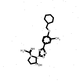 Cc1cc(-c2noc([C@@H]3[C@@H](O)CCN3C(=N)N)n2)ccc1OCC1CCCCC1